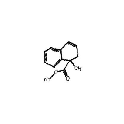 CCCOC(=O)C1(O)CC=Cc2ccccc21